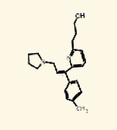 Cc1ccc(/C(=C/CN2CCCC2)c2cccc(CCCO)n2)cc1